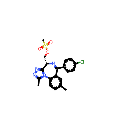 Cc1ccc2c(c1)C(c1ccc(Cl)cc1)=N[C@@H](COS(C)(=O)=O)c1nnc(C)n1-2